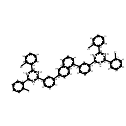 Cc1ccccc1-c1nc(-c2cccc(-c3ccc4c(-c5cccc(-c6nc(-c7ccccc7C)nc(-c7ccccc7C)n6)c5)cccc4c3)c2)nc(-c2ccccc2C)n1